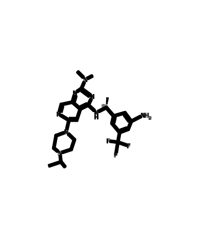 CC(C)N1CCN(c2cc3c(N[C@H](C)c4cc(N)cc(C(F)(F)F)c4)nc(N(C)C)nc3cn2)CC1